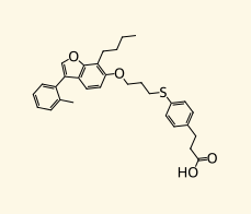 CCCCc1c(OCCCSc2ccc(CCC(=O)O)cc2)ccc2c(-c3ccccc3C)coc12